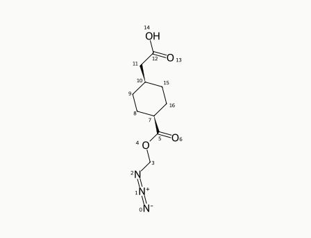 [N-]=[N+]=NCOC(=O)[C@H]1CC[C@@H](CC(=O)O)CC1